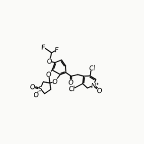 O=C(CC1=C(Cl)C[N+](=O)C=C1Cl)c1ccc(OC(F)F)c2c1OC1(CCS(=O)(=O)C1)O2